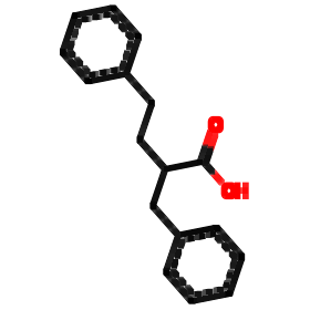 O=C(O)C(CCc1ccccc1)Cc1ccccc1